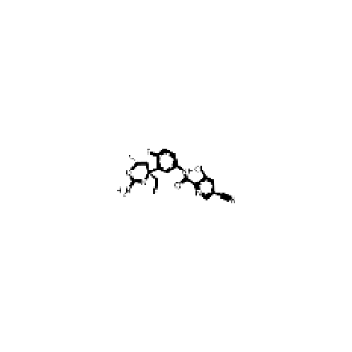 C[C@@H]1C[C@](CF)(c2cc(NC(=O)c3ncc(C#N)cc3Cl)ccc2F)N=C(N)O1